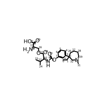 CCC1(c2cccc(OC(=O)N[C@H](C(=O)OC[C@H](N)C(=O)O)C(C)C)c2)CCCCN(C)C1